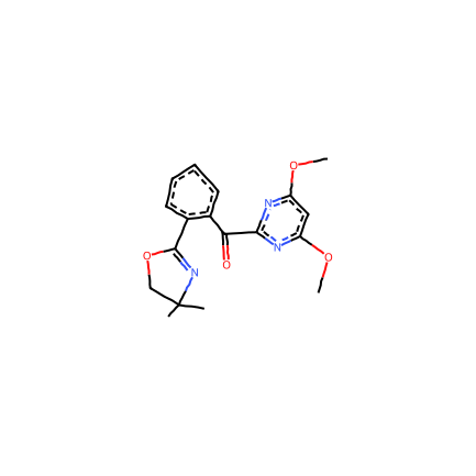 COc1cc(OC)nc(C(=O)c2ccccc2C2=NC(C)(C)CO2)n1